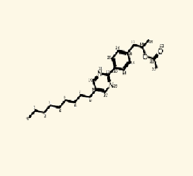 CCCCCCCCCc1cnc(-c2ccc(CC(C)OC(C)=O)cc2)nc1